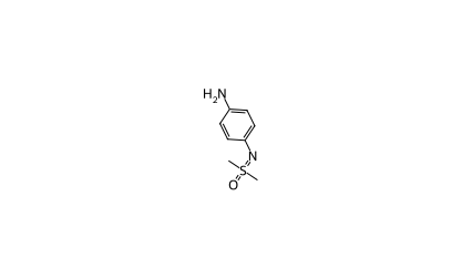 CS(C)(=O)=Nc1ccc(N)cc1